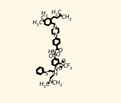 C=C(C)CCC1=C(CN2CCN(c3ccc(C(=O)NS(=O)(=O)c4ccc(N[C@H](CCN(C)C)CSc5ccccc5)c(S(=O)(=O)C(F)(F)F)c4)cc3)CC2)CCC(C)(C)C1